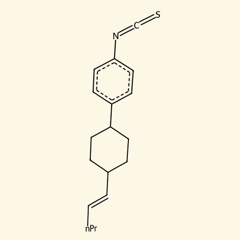 CCCC=CC1CCC(c2ccc(N=C=S)cc2)CC1